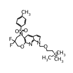 Cc1ccc(S(=O)(=O)N2CC(F)(F)COc3nc4c(ccn4COCC[Si](C)(C)C)cc32)cc1